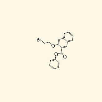 O=C(Oc1ccccc1)c1cc2ccccc2cc1OCCBr